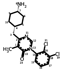 Cc1c(C[C@H]2CC[C@@H](N)CC2)ncn(-c2cccc(Cl)c2Cl)c1=O